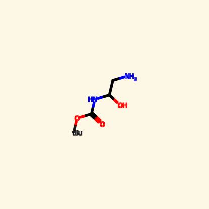 CC(C)(C)OC(=O)NC(O)CN